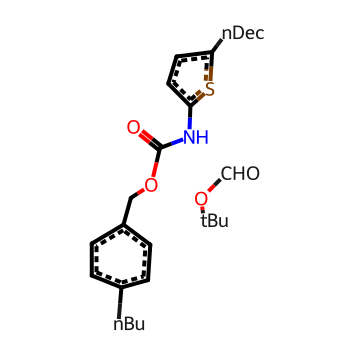 CC(C)(C)OC=O.CCCCCCCCCCc1ccc(NC(=O)OCc2ccc(CCCC)cc2)s1